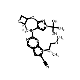 BC(O)(O)n1cc(Nc2ncc3cc(C#N)n([C@@H](C)COC)c3n2)c(OC2CO[C@@H]2C)n1